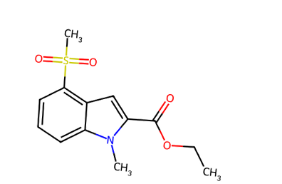 CCOC(=O)c1cc2c(S(C)(=O)=O)cccc2n1C